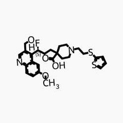 COc1ccc2ncc(CO)c([C@@H](F)CCC3(C(=O)O)CCN(CCSc4cccs4)CC3)c2c1